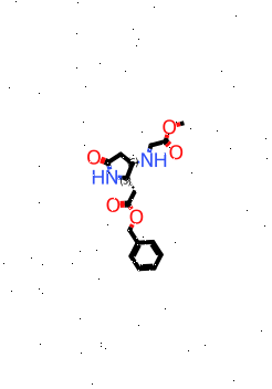 COC(=O)CN[C@H]1CC(=O)N[C@H]1CC(=O)OCc1ccccc1